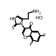 Cl.NCCc1c[nH]c(=S)n1-c1coc2c(F)cc(F)cc2c1=O